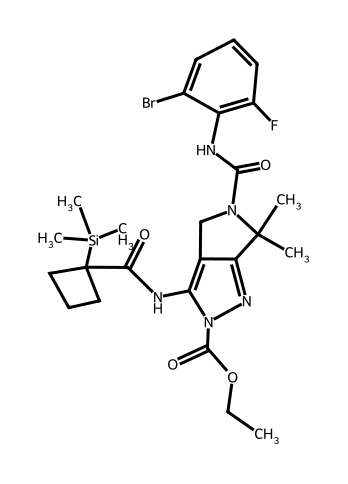 CCOC(=O)n1nc2c(c1NC(=O)C1([Si](C)(C)C)CCC1)CN(C(=O)Nc1c(F)cccc1Br)C2(C)C